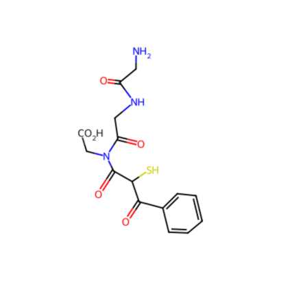 NCC(=O)NCC(=O)N(CC(=O)O)C(=O)C(S)C(=O)c1ccccc1